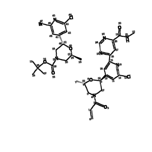 C=CC(=O)N1C[C@H](C)O[C@@H](c2cc(Cl)nc(-c3cc(C(=O)NC)ncn3)c2)C1.C[C@H]1CN(C(=O)OC(C)(C)C)C[C@H](c2cc(Cl)nc(Br)c2)O1